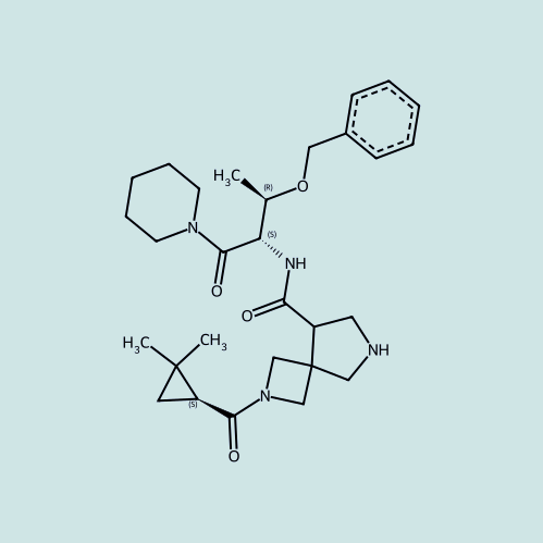 C[C@@H](OCc1ccccc1)[C@H](NC(=O)C1CNCC12CN(C(=O)[C@H]1CC1(C)C)C2)C(=O)N1CCCCC1